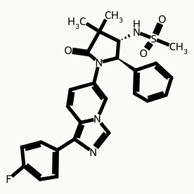 CC1(C)C(=O)N(c2ccc3c(-c4ccc(F)cc4)ncn3c2)[C@H](c2ccccc2)[C@H]1NS(C)(=O)=O